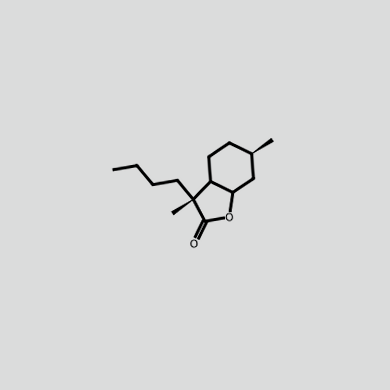 CCCC[C@@]1(C)C(=O)OC2C[C@H](C)CCC21